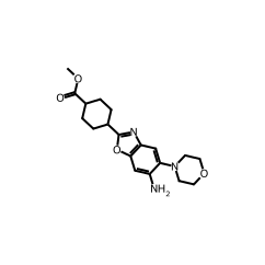 COC(=O)C1CCC(c2nc3cc(N4CCOCC4)c(N)cc3o2)CC1